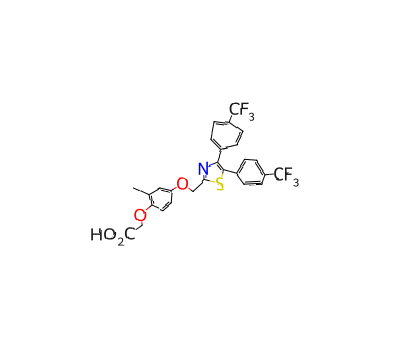 Cc1cc(OCc2nc(-c3ccc(C(F)(F)F)cc3)c(-c3ccc(C(F)(F)F)cc3)s2)ccc1OCC(=O)O